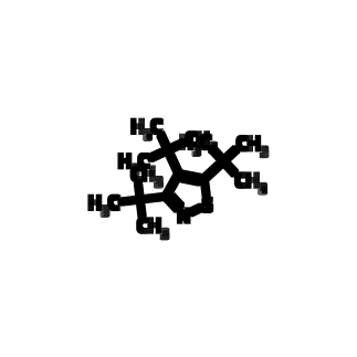 CC(C)(C)c1nsc(C(C)(C)C)c1C(C)(C)C